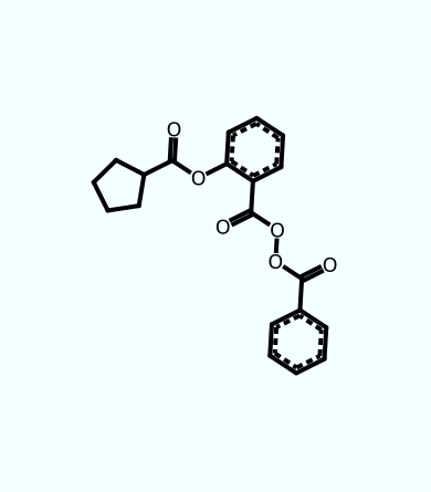 O=C(OOC(=O)c1ccccc1OC(=O)C1CCCC1)c1ccccc1